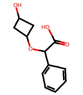 O=C(O)C(OC1CC(O)C1)c1ccccc1